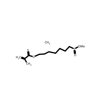 C.C=C(C)C(=S)OCCCCCCCS(=O)OC